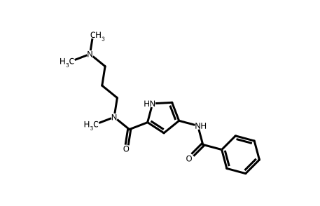 CN(C)CCCN(C)C(=O)c1cc(NC(=O)c2ccccc2)c[nH]1